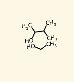 CC(C)C(C)O.CCO